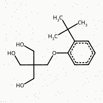 CC(C)(C)c1ccccc1OCC(CO)(CO)CO